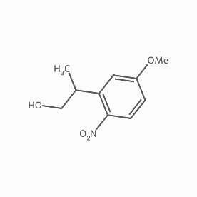 COc1ccc([N+](=O)[O-])c([C](C)CO)c1